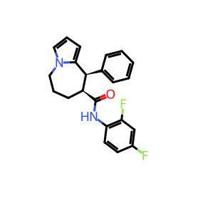 O=C(Nc1ccc(F)cc1F)[C@H]1CCCn2cccc2[C@H]1c1ccccc1